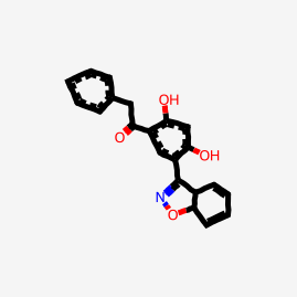 O=C(Cc1ccccc1)c1cc(C2=NOC3C=CC=CC23)c(O)cc1O